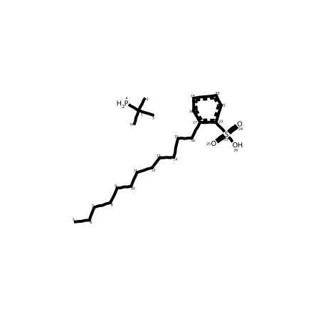 CC(C)(C)P.CCCCCCCCCCCCc1ccccc1S(=O)(=O)O